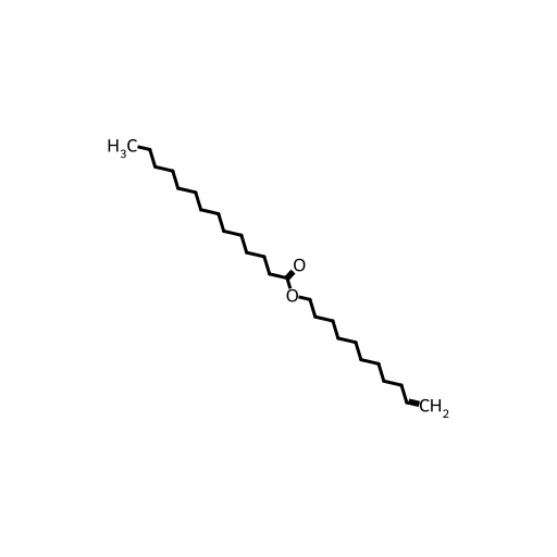 C=CCCCCCCCCCOC(=O)CCCCCCCCCCCCC